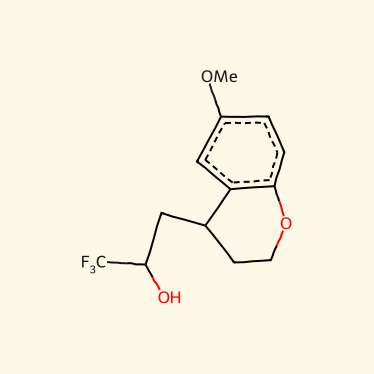 COc1ccc2c(c1)C(CC(O)C(F)(F)F)CCO2